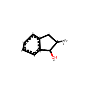 CCCC1Cc2ccccc2C1O